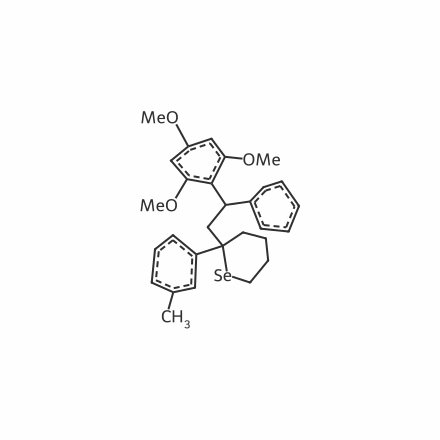 COc1cc(OC)c(C(CC2(c3cccc(C)c3)CCCC[Se]2)c2ccccc2)c(OC)c1